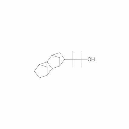 CC(C)(O)C(C)(C)C1CC2CC1C1C3CCC(C3)C21